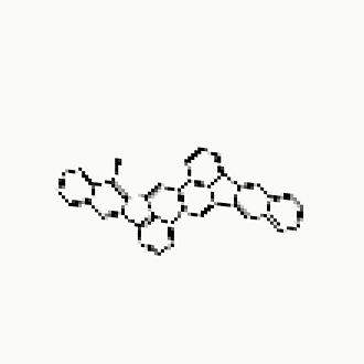 Fc1c2ccccc2cc2c3cccc4c5cc6c7cc8ccccc8cc7c7cccc(c5cc(c12)c43)c76